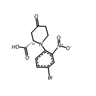 O=C1CCN(c2ccc(Br)cc2[N+](=O)[O-])[C@H](C(=O)O)C1